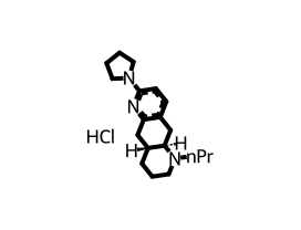 CCCN1CCC[C@@H]2Cc3nc(N4CCCC4)ccc3C[C@H]21.Cl